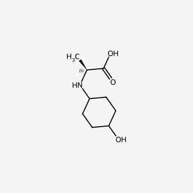 C[C@H](NC1CCC(O)CC1)C(=O)O